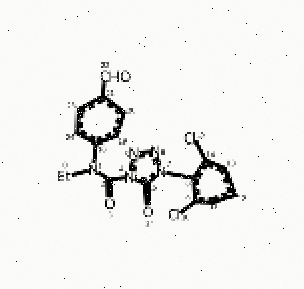 CCN(C(=O)n1nnn(-c2c(Cl)cccc2Cl)c1=O)c1ccc(C=O)cc1